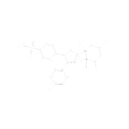 CC1CC(Cl)C(Cl)(C(C)C)C(F)(c2cc(-c3ccc(Cl)cc3)n(-c3ccc(S(N)(=O)=O)cc3)n2)C1